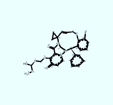 COC(O)OCOc1c2n(ccc1=O)N1CN(C2=O)C2(/C=C/COc3c(F)cccc3[C@H]1c1ccccc1)CC2